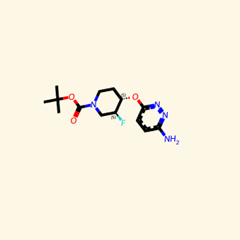 CC(C)(C)OC(=O)N1CC[C@H](Oc2ccc(N)nn2)[C@@H](F)C1